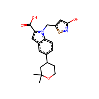 CC1(C)CC(c2ccc3c(c2)cc(C(=O)O)n3Cc2cc(O)ns2)CCO1